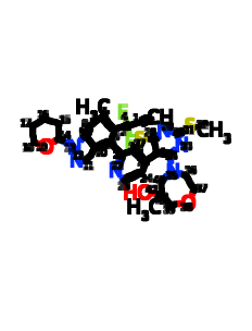 C#CC(F)(F)c1c(C)cc2c(cnn2C2CCCCO2)c1-c1nccc2c1sc1nc(SC)nc(N3CCOC[C@@](C)(O)C3)c12